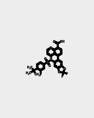 CC(C)(C)c1ccc(S(=O)(=O)Nc2cc3c(cc2-c2ccc(C(=O)O)c4ncccc24)OC(F)(F)O3)cc1F